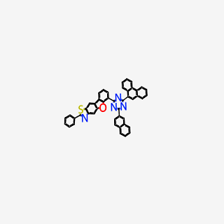 c1ccc(-c2nc3cc4oc5c(-c6nc(-c7ccc8ccccc8c7)nc(-c7cc8ccccc8c8ccccc78)n6)cccc5c4cc3s2)cc1